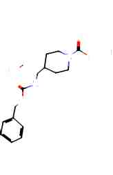 CC(C)(C)OC(=O)N1CCC([C@@H](CO)NC(=O)OCc2ccccc2)CC1